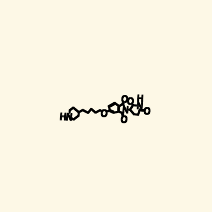 O=C1CCC(N2C(=O)c3ccc(OCCCCCC4CCNCC4)cc3C2=O)C(=O)N1